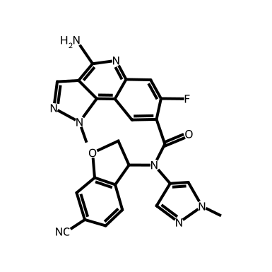 Cn1cc(N(C(=O)c2cc3c(cc2F)nc(N)c2cnn(C)c23)C2COc3cc(C#N)ccc32)cn1